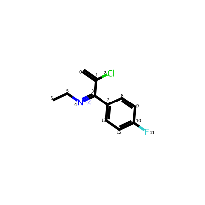 C=C(Cl)/C(=N\CC)c1ccc(F)cc1